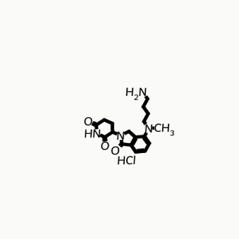 CN(CCCCN)c1cccc2c1CN(C1CCC(=O)NC1=O)C2=O.Cl